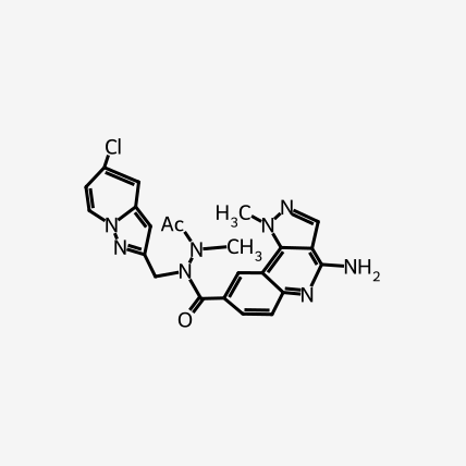 CC(=O)N(C)N(Cc1cc2cc(Cl)ccn2n1)C(=O)c1ccc2nc(N)c3cnn(C)c3c2c1